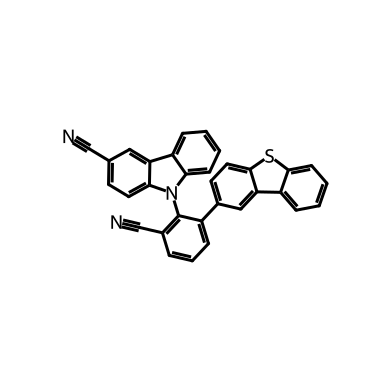 N#Cc1ccc2c(c1)c1ccccc1n2-c1c(C#N)cccc1-c1ccc2sc3ccccc3c2c1